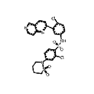 O=S(=O)(Nc1ccc(Cl)c(-c2ccc3cnccc3n2)c1)c1ccc(N2CCCCS2(=O)=O)cc1Cl